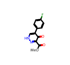 COC(=O)c1n[nH]cc(-c2ccc(F)cc2)c1=O